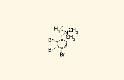 C[N+](C)(C)Cc1ccc(Br)c(Br)c1Br